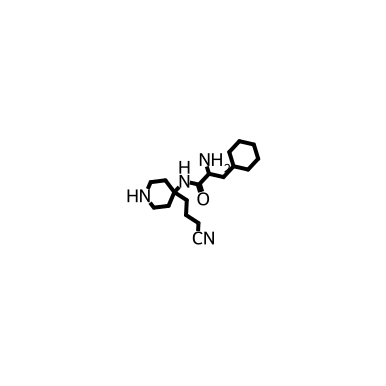 N#CCCCC1(NC(=O)C(N)CC2CCCCC2)CCNCC1